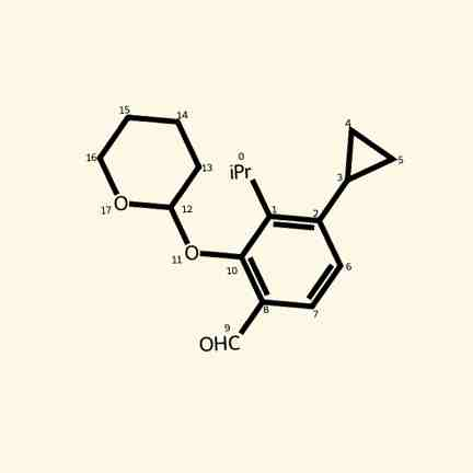 CC(C)c1c(C2CC2)ccc(C=O)c1OC1CCCCO1